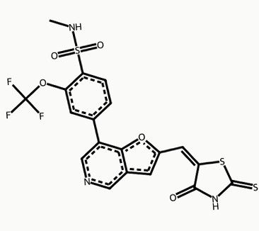 CNS(=O)(=O)c1ccc(-c2cncc3cc(C=C4SC(=S)NC4=O)oc23)cc1OC(F)(F)F